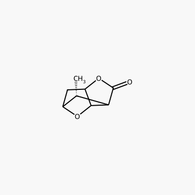 C[C@H]1C2CC3OC(=O)C1C3O2